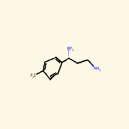 NCC[C@@H](N)c1ccc(C(F)(F)F)cc1